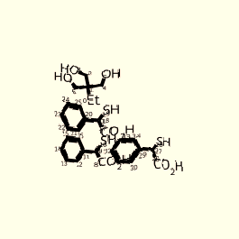 CCC(CO)(CO)CO.O=C(O)C(S)c1ccccc1.O=C(O)C(S)c1ccccc1.O=C(O)C(S)c1ccccc1